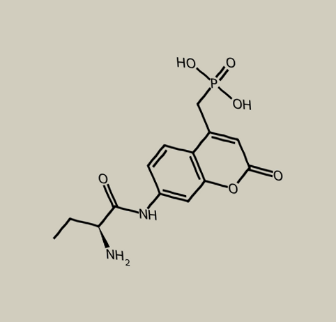 CC[C@H](N)C(=O)Nc1ccc2c(CP(=O)(O)O)cc(=O)oc2c1